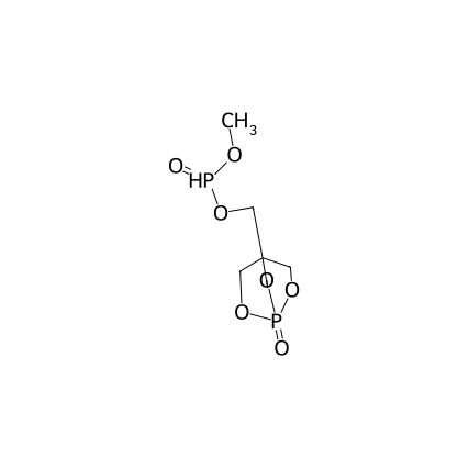 CO[PH](=O)OCC12COP(=O)(OC1)OC2